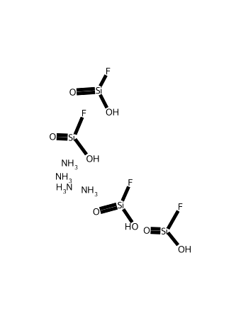 N.N.N.N.O=[Si](O)F.O=[Si](O)F.O=[Si](O)F.O=[Si](O)F